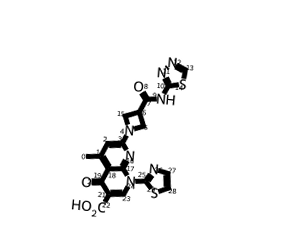 Cc1cc(N2CC(C(=O)Nc3nncs3)C2)nc2c1c(=O)c(C(=O)O)cn2-c1nccs1